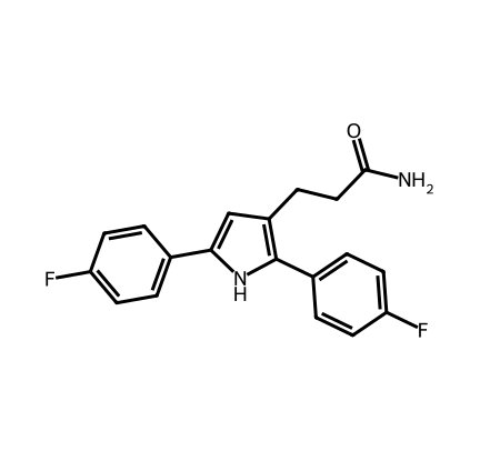 NC(=O)CCc1cc(-c2ccc(F)cc2)[nH]c1-c1ccc(F)cc1